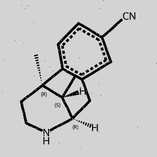 C[C@@H]1[C@H]2Cc3cc(C#N)ccc3[C@]1(C)CCN2